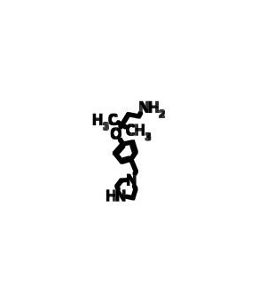 CC(C)(CCN)Oc1ccc(CN2CCNCC2)cc1